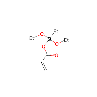 C=CC(=O)O[Si](CC)(OCC)OCC